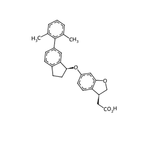 Cc1cccc(C)c1-c1ccc2c(c1)[C@@H](Oc1ccc3c(c1)OC[C@H]3CC(=O)O)CC2